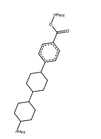 CCCCCCC1CCC(C2CCC(c3ccc(C(=O)OCCCCC)cc3)CC2)CC1